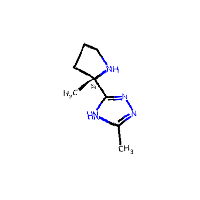 Cc1nnc([C@]2(C)CCCN2)[nH]1